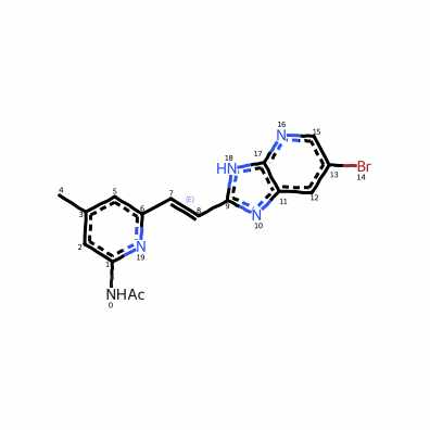 CC(=O)Nc1cc(C)cc(/C=C/c2nc3cc(Br)cnc3[nH]2)n1